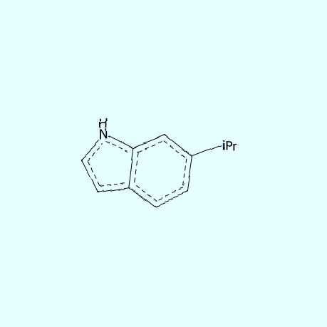 CC(C)c1ccc2cc[nH]c2c1